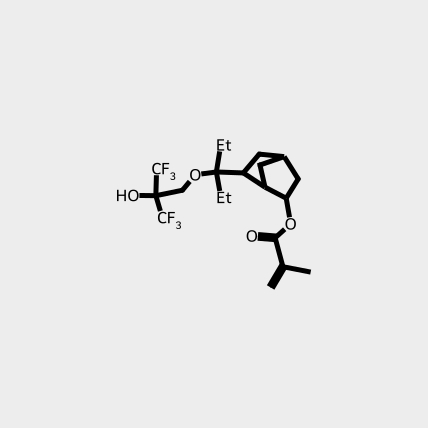 C=C(C)C(=O)OC1CC2CC1C(C(CC)(CC)OCC(O)(C(F)(F)F)C(F)(F)F)C2